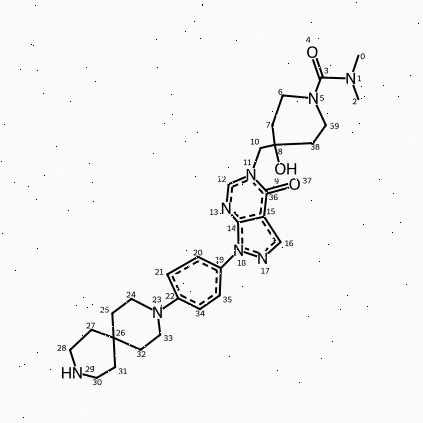 CN(C)C(=O)N1CCC(O)(Cn2cnc3c(cnn3-c3ccc(N4CCC5(CCNCC5)CC4)cc3)c2=O)CC1